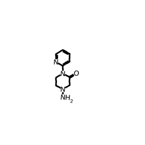 NN1CCN(c2ccccn2)C(=O)C1